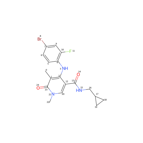 Cc1c(Nc2ccc(Br)cc2F)c(C(=O)NCC2CC2)cn(C)c1=O